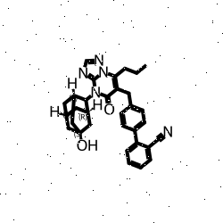 CCCc1c(Cc2ccc(-c3ccccc3C#N)cc2)c(=O)n(C2[C@@H]3C[C@H]4C[C@H]2C[C@@](O)(C4)C3)c2ncnn12